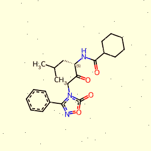 CC(C)C[C@H](NC(=O)C1CCCCC1)C(=O)Cn1c(-c2ccccc2)noc1=O